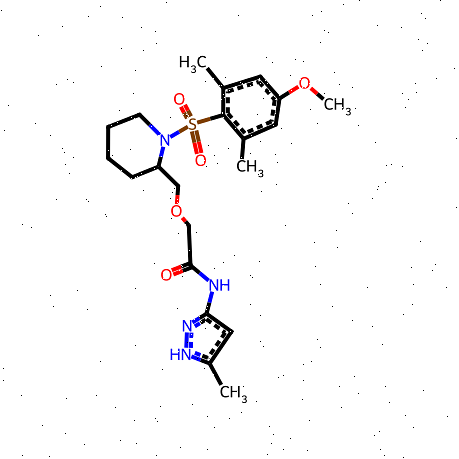 COc1cc(C)c(S(=O)(=O)N2CCCCC2COCC(=O)Nc2cc(C)[nH]n2)c(C)c1